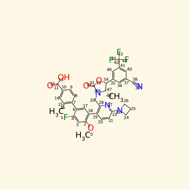 COc1cc(F)c(-c2ccc(C(=O)O)cc2C)cc1-c1ccc(N2CCC2)nc1CN1C(=O)OC(c2cc(C#N)cc(C(F)(F)F)c2)[C@@H]1C